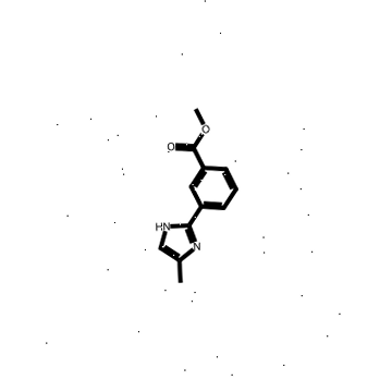 COC(=O)c1cccc(-c2nc(C)c[nH]2)c1